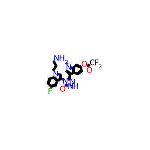 Cn1cc(-c2n[nH]c(=O)n2-c2cn(CCCN)c3ccc(F)cc23)c2ccc(OC(=O)C(F)(F)F)cc21